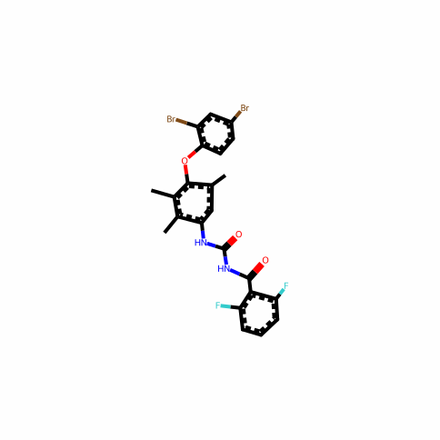 Cc1cc(NC(=O)NC(=O)c2c(F)cccc2F)c(C)c(C)c1Oc1ccc(Br)cc1Br